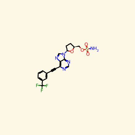 NS(=O)(=O)OC[C@@H]1CC[C@H](n2cnc3c(C#Cc4cccc(C(F)(F)F)c4)ncnc32)O1